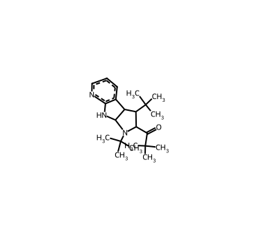 CC(C)(C)C(=O)C1C(C(C)(C)C)C2c3cccnc3NC2N1C(C)(C)C